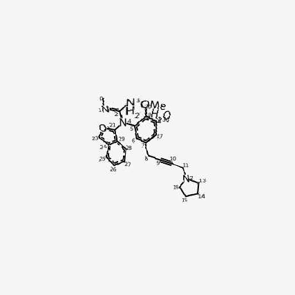 CN=C(N)N(c1cc(CC#CCN2CCCC2)ccc1OC)c1occ2ccccc12.O